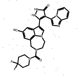 N#Cc1cc2c3c(c1)c(-c1[nH][nH]c(=O)c1-c1cnc4ccccn14)cn3CCN(C(=O)N1CCC(F)(F)CC1)C2